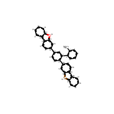 N#Cc1ccccc1-c1cc(-c2ccc3c(c2)oc2ccccc23)ccc1-c1ccc2c(c1)sc1ccccc12